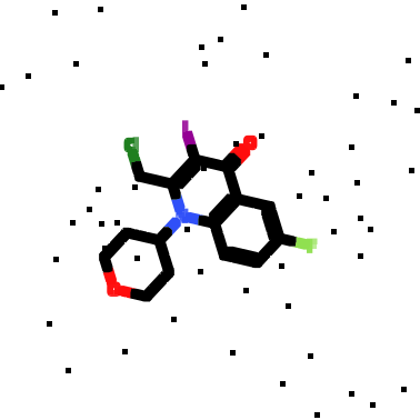 O=c1c(I)c(CCl)n(C2CCOCC2)c2ccc(F)cc12